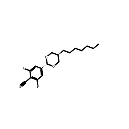 CCCCCCC[C@H]1CO[C@H](c2cc(F)c(C#N)c(F)c2)OC1